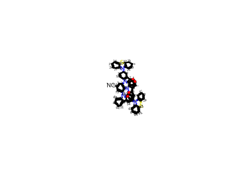 N#Cc1cc(-n2c3c(c4ccccc42)CC(N2C4=C(CCC=C4)Sc4ccccc42)C=C3)c(-n2c3ccccc3c3ccccc32)c(-n2c3ccccc3c3cc(N4C5=C(C=CCC5)Sc5ccccc54)ccc32)c1